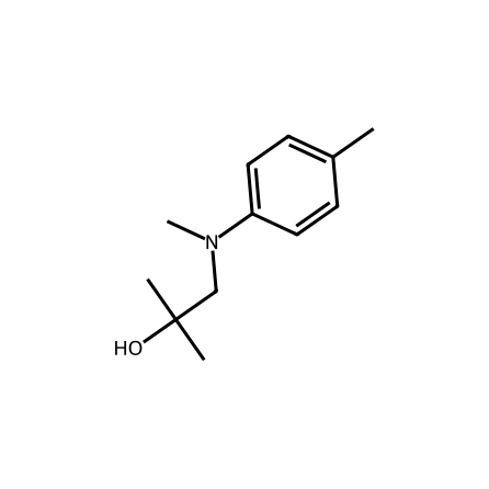 Cc1ccc(N(C)CC(C)(C)O)cc1